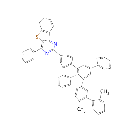 Cc1ccccc1-c1cc(-c2cc(-c3ccccc3)cc(-c3ccc(-c4nc(-c5ccccc5)c5sc6c(c5n4)C=CCC6)cc3)c2-c2ccccc2)ccc1C